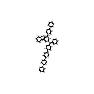 c1ccc(-c2ccc(-c3ccc(-c4ccc(N(c5ccccc5)c5cc(-c6ccc(-c7ccccc7)cc6)c6oc7ccccc7c6c5)cc4)cc3)cc2)cc1